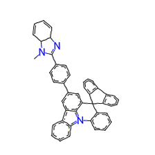 CN1C(c2ccc(-c3cc4c5c(c3)c3ccccc3n5-c3ccccc3C43c4ccccc4-c4ccccc43)cc2)=NC2C=CC=CC21